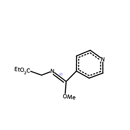 CCOC(=O)C/N=C(\OC)c1ccncc1